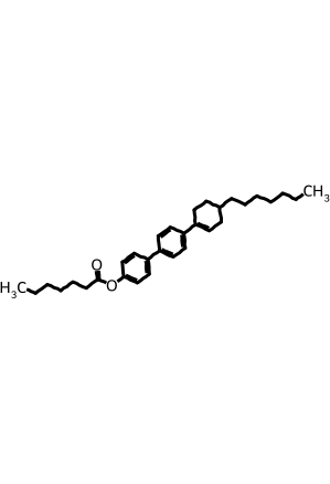 CCCCCCCC1CC=C(c2ccc(-c3ccc(OC(=O)CCCCCC)cc3)cc2)CC1